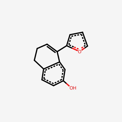 Oc1ccc2c(c1)C(c1ccco1)=CCC2